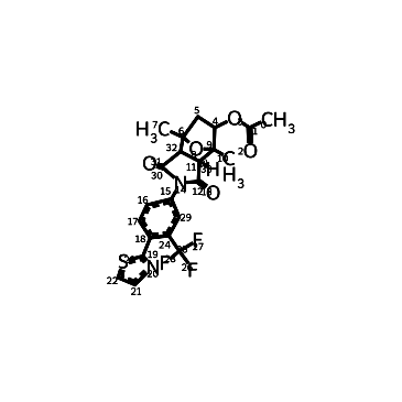 CC(=O)OC1CC2(C)OC1(C)[C@@H]1C(=O)N(c3ccc(-c4nccs4)c(C(F)(F)F)c3)C(=O)C12